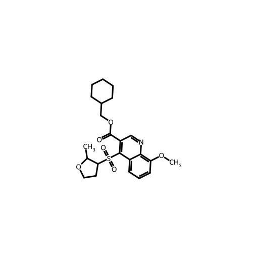 COc1cccc2c(S(=O)(=O)C3CCOC3C)c(C(=O)OCC3CCCCC3)cnc12